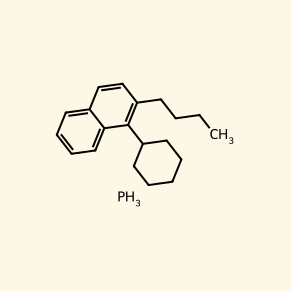 CCCCc1ccc2ccccc2c1C1CCCCC1.P